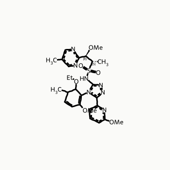 CCOC1C(n2c(NS(=O)(=O)[C@@H](C)[C@H](OC)c3ncc(C)cn3)nnc2-c2cccc(OC)n2)=C(OC)C=CC1C